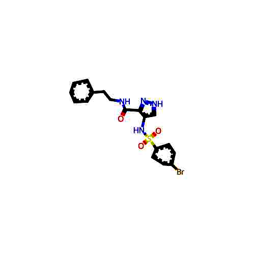 O=C(NCCc1ccccc1)c1n[nH]cc1NS(=O)(=O)c1ccc(Br)cc1